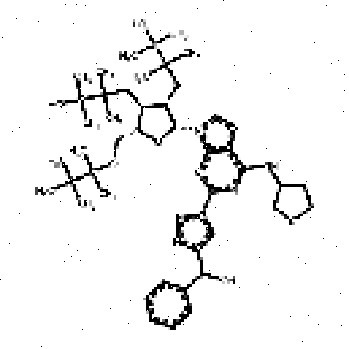 CC(C)(C[C@@H]1[C@H](CC(C)(C)[Si](C)(C)O)[C@@H](CO[Si](C)(C)C(C)(C)C)O[C@H]1n1cnc2c(NC3CCOC3)nc(-n3cc(C(O)c4ccccc4)nn3)nc21)[Si](C)(C)O